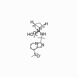 C[S+]([O-])c1cccn2c(C(C)(C)NC(=O)[C@@H]3[C@@H]4C[C@H]3CN(C(=O)O)C4)ncc12